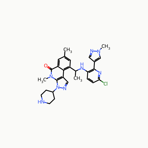 Cc1cc(C(C)Nc2ccc(Cl)nc2-c2cnn(C)c2)c2c(c1)c(=O)n(C)c1c2cnn1C1CCNCC1